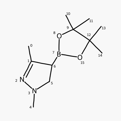 CC1=NN(C)CC1B1OC(C)(C)C(C)(C)O1